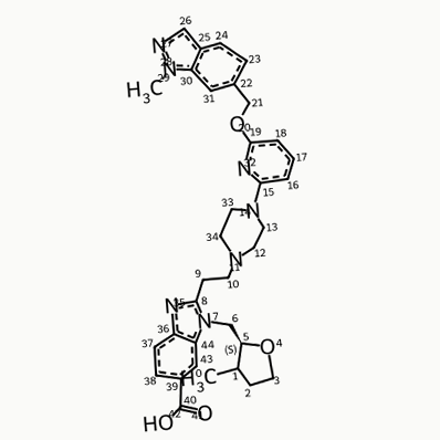 CC1CCO[C@@H]1Cn1c(CCN2CCN(c3cccc(OCc4ccc5cnn(C)c5c4)n3)CC2)nc2ccc(C(=O)O)cc21